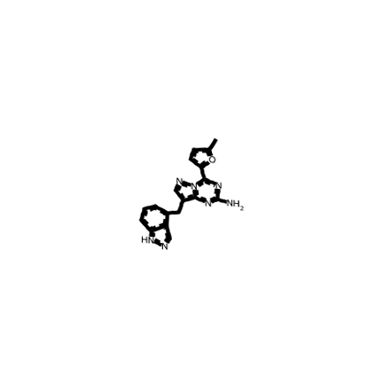 Cc1ccc(-c2nc(N)nc3c(Cc4cccc5[nH]ncc45)cnn23)o1